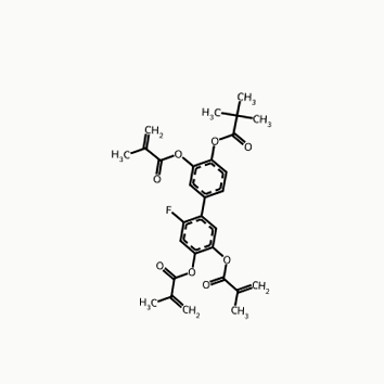 C=C(C)C(=O)Oc1cc(F)c(-c2ccc(OC(=O)C(C)(C)C)c(OC(=O)C(=C)C)c2)cc1OC(=O)C(=C)C